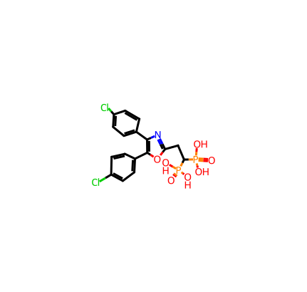 O=P(O)(O)C(Cc1nc(-c2ccc(Cl)cc2)c(-c2ccc(Cl)cc2)o1)P(=O)(O)O